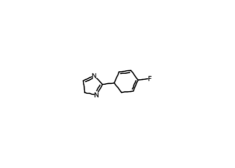 FC1=CCC(C2=NCC=N2)C=C1